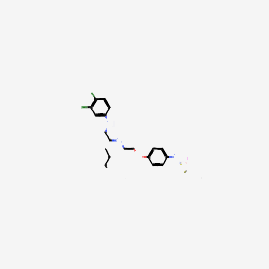 CCCC[C@@H](CNc1ccc(Cl)c(Cl)c1)NCCOc1ccc(NS(C)(=O)=O)cc1